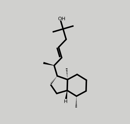 C[C@@H](/C=C/CC(C)(C)O)[C@H]1CC[C@H]2[C@@H](C)CCC[C@]12C